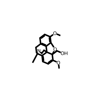 COC1=CC=C2C3Cc4ccc(OC)c5c4C2(CCN3C)C1(CO)O5